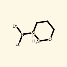 CCN(CC)[SiH]1CCCO[SiH2]1